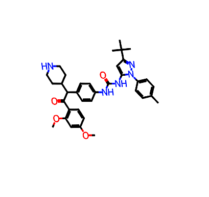 COc1ccc(C(=O)C(c2ccc(NC(=O)Nc3cc(C(C)(C)C)nn3-c3ccc(C)cc3)cc2)C2CCNCC2)c(OC)c1